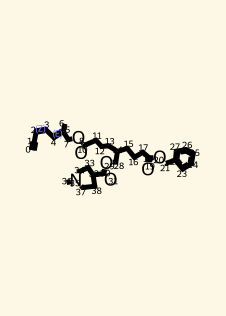 C#C/C=C\C=C(/C)COC(=O)CCCC(CCCC(=O)OCc1ccccc1)COC(=O)C1CCN(C)CC1